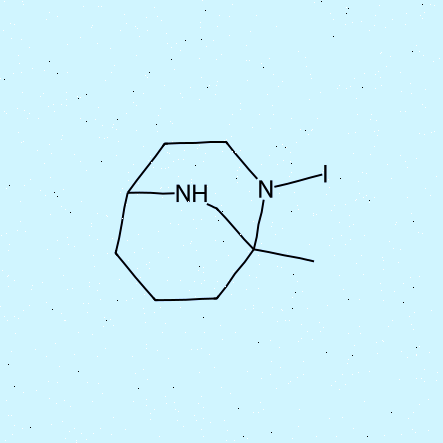 CC12CCCC(CCN1I)NC2